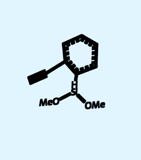 C#Cc1ccccc1[SiH](OC)OC